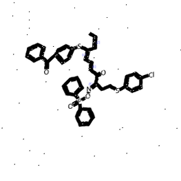 C\C=C/C(=C\C=C\C(=O)/C(CCSc1ccc(Cl)cc1)=N/OP(=O)(c1ccccc1)c1ccccc1)Sc1ccc(C(=O)c2ccccc2)cc1